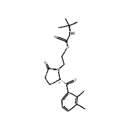 Cc1cccc(C(=O)[C@@H]2CCC(=O)N2CCOC(=O)NC(C)(C)C)c1C